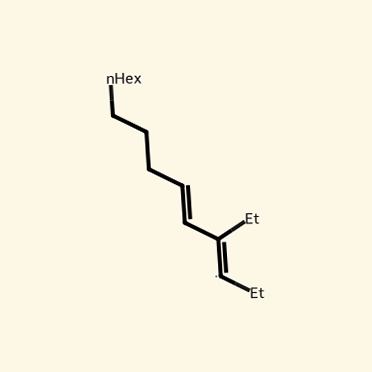 CC/[C]=C(/C=CCCCCCCCCC)CC